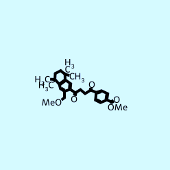 COCc1cc2c(cc1C(=O)CCC(=O)c1ccc(C(=O)OC)cc1)C(C)(C)CCC2(C)C